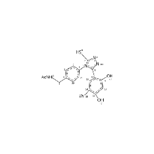 CC(=O)NCc1ccc(-n2c(S)nnc2-c2cc(C(C)C)c(O)cc2O)cc1